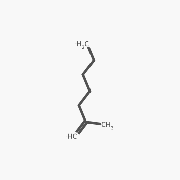 [CH]=C(C)CCCC[CH2]